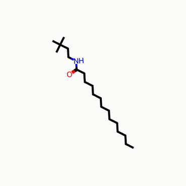 CCCCCCCCCCCCCC(=O)NCCC(C)(C)C